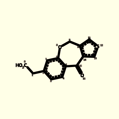 O=C(O)Cc1ccc2c(c1)OCc1cscc1C2=O